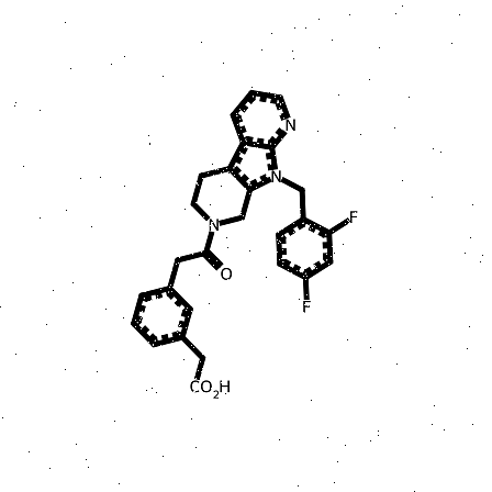 O=C(O)Cc1cccc(CC(=O)N2CCc3c(n(Cc4ccc(F)cc4F)c4ncccc34)C2)c1